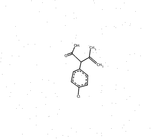 C=C(C)C(C(=O)O)c1ccc(Cl)cc1